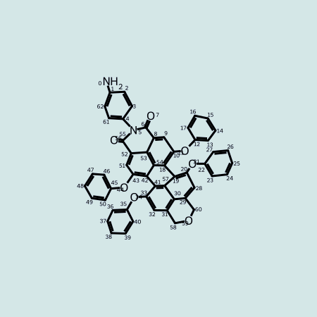 Nc1ccc(N2C(=O)c3cc(Oc4ccccc4)c4c5c(Oc6ccccc6)cc6c7c(cc(Oc8ccccc8)c(c8c(Oc9ccccc9)cc(c3c48)C2=O)c75)COC6)cc1